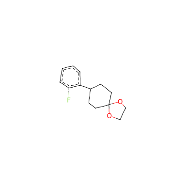 Fc1ccccc1C1CCC2(CC1)OCCO2